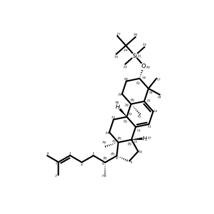 CC(C)=CCC[C@@H](C)[C@H]1CC[C@H]2C3=CC=C4C(C)(C)[C@@H](O[Si](C)(C)C(C)(C)C)CC[C@]4(C)[C@H]3CC[C@]12C